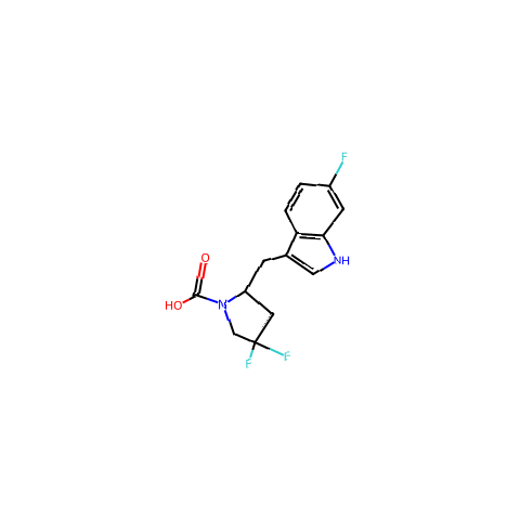 O=C(O)N1CC(F)(F)CC1Cc1c[nH]c2cc(F)ccc12